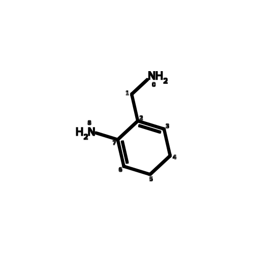 NCC1=CCCC=C1N